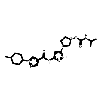 CC1CCC(n2cc(C(=O)Nc3cc([C@H]4CC[C@@H](OC(=O)NC(C)C)C4)[nH]n3)cn2)CC1